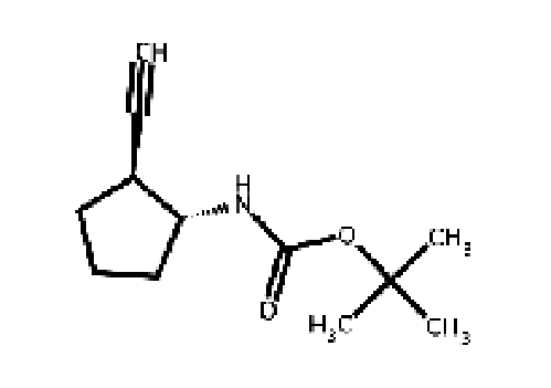 C#C[C@@H]1CCC[C@H]1NC(=O)OC(C)(C)C